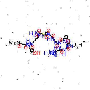 CNC(=O)CCCC(=O)NC(Cc1ccc(O)cc1)C(=O)NCCCCCC(=O)NC(CSC1CC(=O)N(CCC(=O)NCCCCC2NC(=O)[C@@H](Cc3ccccc3)NC(=O)C(CC(=O)O)NC(=O)CNC(=O)C(CCCNC(=N)N)NC2=O)C1=O)C(N)=O